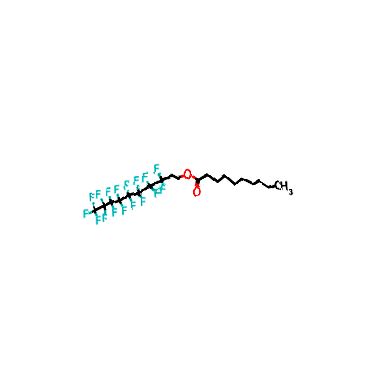 CCCCCCCCCC(=O)OCCC(F)(F)C(F)(F)C(F)(F)C(F)(F)C(F)(F)C(F)(F)C(F)(F)C(F)(F)F